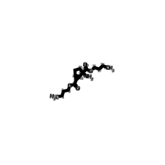 CCCCOC(=O)C1C2CCC(N)(C(=O)OCCCC)C21